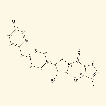 Cc1csc(C(=O)N2CC(O)C(N3CCN(Cc4ccc(Cl)cc4)CC3)C2)c1Cl